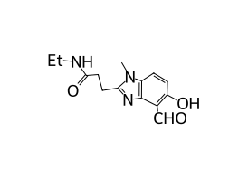 CCNC(=O)CCc1nc2c(C=O)c(O)ccc2n1C